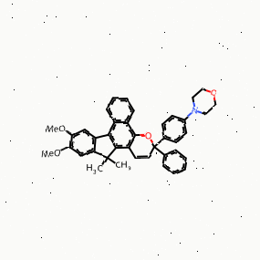 COc1cc2c(cc1OC)C(C)(C)c1c3c(c4ccccc4c1-2)OC(c1ccccc1)(c1ccc(N2CCOCC2)cc1)C=C3